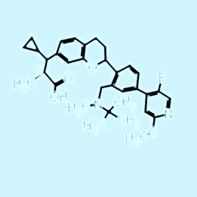 COc1cc(-c2ccc(C3CCc4ccc(C(C5CC5)[C@H](C)C(=O)O)cc4O3)c(CN(C)C(C)(C)C)c2)c(F)cn1